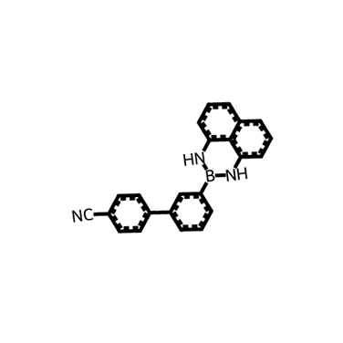 N#Cc1ccc(-c2cccc(B3Nc4cccc5cccc(c45)N3)c2)cc1